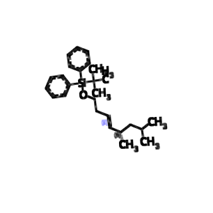 CC(C)C[C@H](C)/C=C/CCO[Si](c1ccccc1)(c1ccccc1)C(C)(C)C